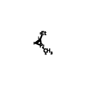 CCC1=CP1C